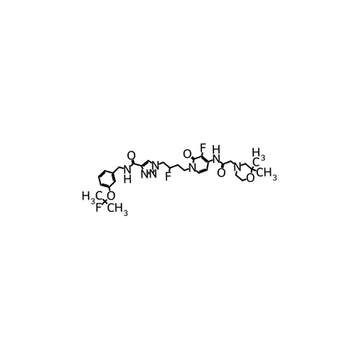 CC(C)(F)Oc1cccc(CNC(=O)c2cn(CC(F)CCn3ccc(NC(=O)CN4CCOC(C)(C)C4)c(F)c3=O)nn2)c1